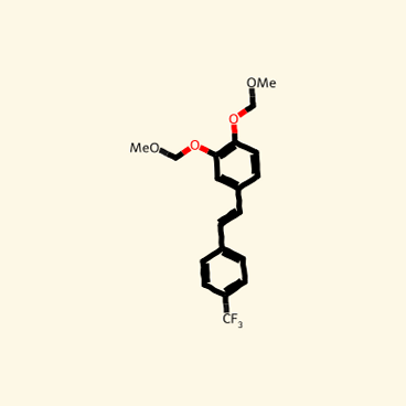 COCOc1ccc(/C=C/c2ccc(C(F)(F)F)cc2)cc1OCOC